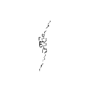 CCCCCCCCCc1ccc(C(=O)Oc2ccc(OCCCCCCCC)c(F)c2F)cc1